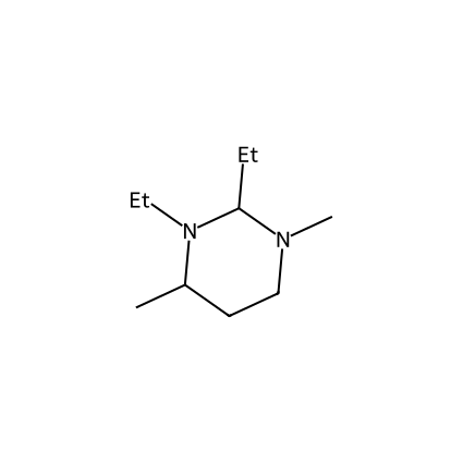 CCC1N(C)CCC(C)N1CC